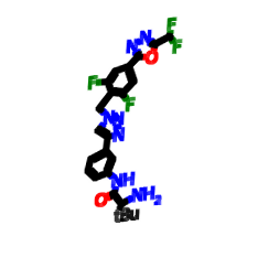 CC(C)(C)C(N)C(=O)Nc1cccc(-c2cn(Cc3c(F)cc(-c4nnc(C(F)F)o4)cc3F)nn2)c1